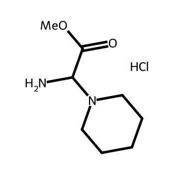 COC(=O)C(N)N1CCCCC1.Cl